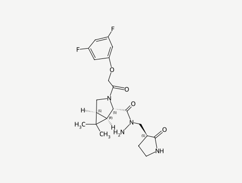 CC1(C)[C@@H]2[C@@H](C(=O)N(N)C[C@@H]3CCNC3=O)N(C(=O)COc3cc(F)cc(F)c3)C[C@@H]21